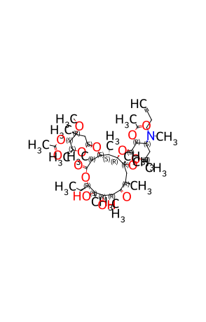 C#CCCN(C)[C@H]1C[C@@H](C)O[C@@H](O[C@@H]2[C@@H](C)[C@H](O[C@@H]3C[C@@](C)(OC)[C@@H](OC(C)=O)[C@H](C)O3)[C@@H](C)C(=O)O[C@H](CC)[C@@](C)(O)[C@H](O)[C@@H](C)C(=O)[C@H](C)C[C@@]2(C)OC)[C@@H]1OC(C)=O